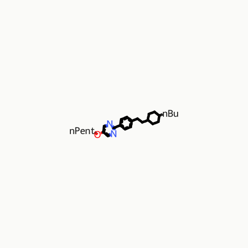 CCCCCOc1cnc(-c2ccc(CCC3CCC(CCCC)CC3)cc2)nc1